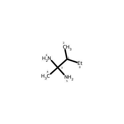 CCC(C)C(C)(N)N